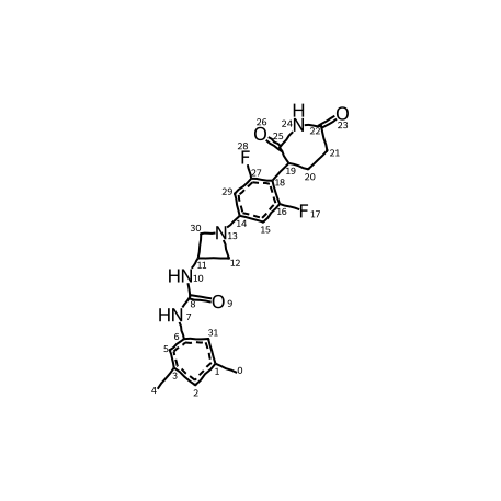 Cc1cc(C)cc(NC(=O)NC2CN(c3cc(F)c(C4CCC(=O)NC4=O)c(F)c3)C2)c1